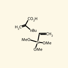 C=C(CCCC)C(=O)O.C=C[Si](OC)(OC)OC